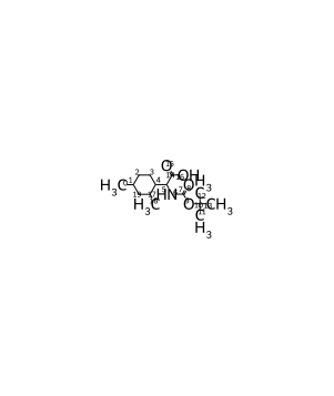 CC1CCC(C(NC(=O)OC(C)(C)C)C(=O)O)C(C)C1